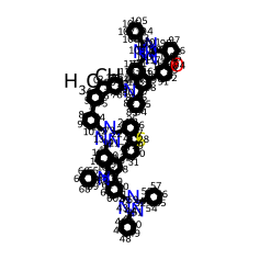 CC1(C)c2ccc(-c3cccc(-c4nc(-c5ccccc5)nc(-c5cccc6sc7ccc(-c8ccc9c(c8)c8cc(-c%10nc(-c%11ccccc%11)nc(-c%11ccccc%11)n%10)ccc8n9-c8ccccc8)cc7c56)n4)c3)cc2-c2cc(-n3c4ccccc4c4cc(-c5ccc6oc7cccc(-c8nc(-c9ccccc9)nc(-c9ccccc9)n8)c7c6c5)ccc43)ccc21